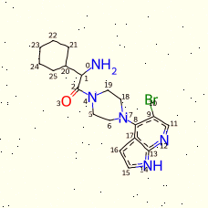 NC(C(=O)N1CCN(c2c(Br)cnc3[nH]ccc23)CC1)C1CCCCC1